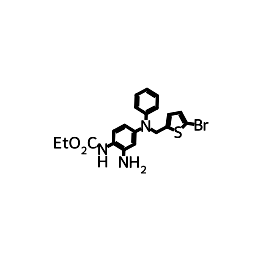 CCOC(=O)Nc1ccc(N(Cc2ccc(Br)s2)c2ccccc2)cc1N